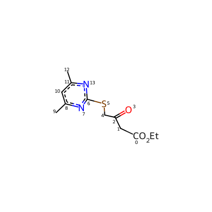 CCOC(=O)CC(=O)CSc1nc(C)cc(C)n1